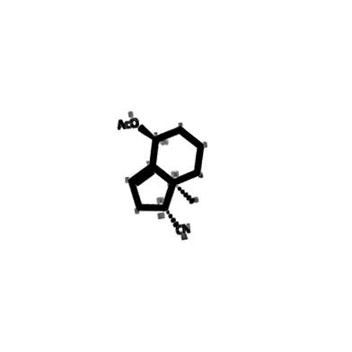 CC(=O)O[C@H]1CCC[C@]2(C)C1=CC[C@H]2C#N